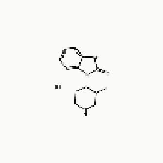 CC1CNCCC1n1c(=O)[nH]c2ccccc21.Cl